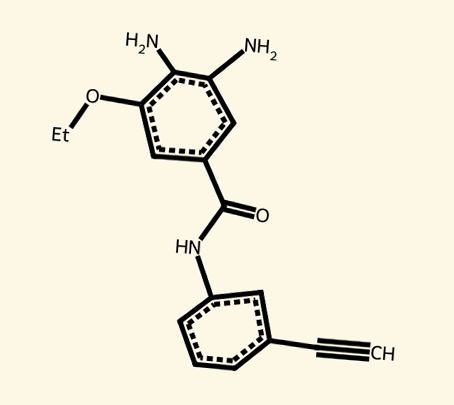 C#Cc1cccc(NC(=O)c2cc(N)c(N)c(OCC)c2)c1